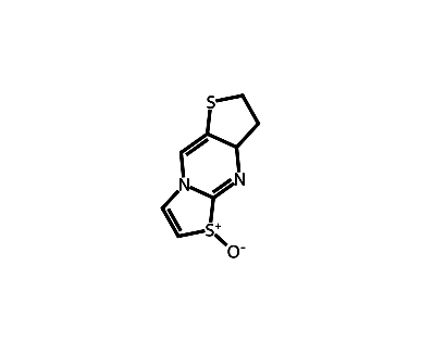 [O-][S+]1C=CN2C=C3SCCC3N=C21